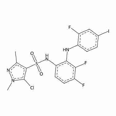 Cc1nn(C)c(Cl)c1S(=O)(=O)Nc1ccc(F)c(F)c1Nc1ccc(I)cc1F